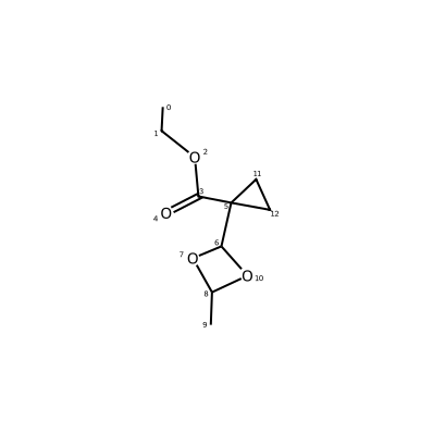 CCOC(=O)C1(C2OC(C)O2)CC1